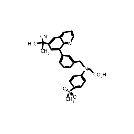 CC(C)(C#N)c1cc(-c2cccc(CN(CC(=O)O)c3ccc(S(C)(=O)=O)cc3)c2)c2ncccc2c1